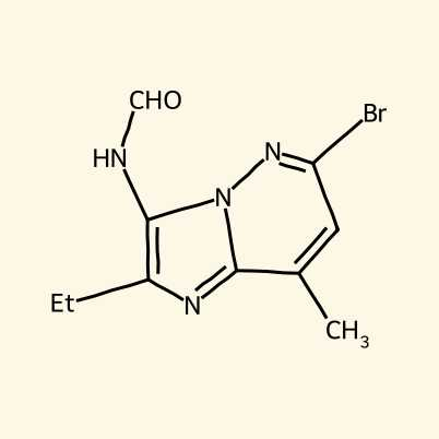 CCc1nc2c(C)cc(Br)nn2c1NC=O